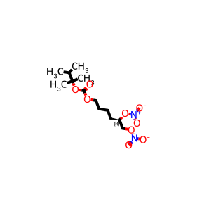 CC(C)C(C)(C)OC(=O)OCCCC[C@H](CO[N+](=O)[O-])O[N+](=O)[O-]